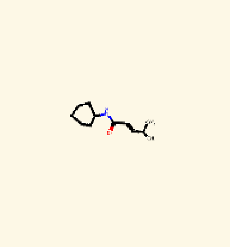 CC(C)/C=C/C(=O)NC1CCCCC1